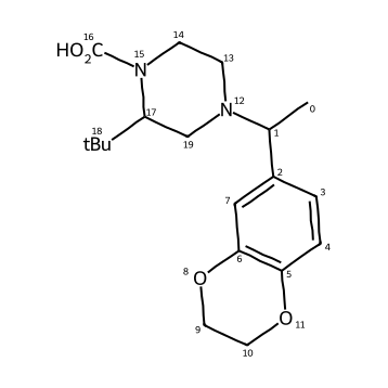 CC(c1ccc2c(c1)OCCO2)N1CCN(C(=O)O)C(C(C)(C)C)C1